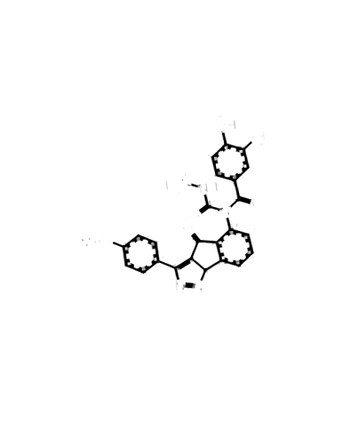 COc1ccc(C2=C3C(=O)c4c(cccc4N(C(=O)NN)C(=O)c4ccc(O)c(O)c4)C3N=N2)cc1